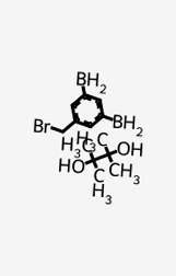 Bc1cc(B)cc(CBr)c1.CC(C)(O)C(C)(C)O